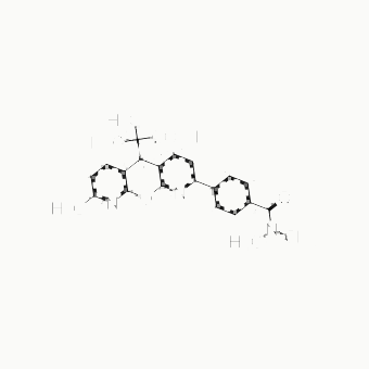 Cc1ccc2c(n1)Oc1nc(-c3ccc(C(=O)N(C)C)cc3)ccc1[C@@H]2C(C)(C)C(=O)O